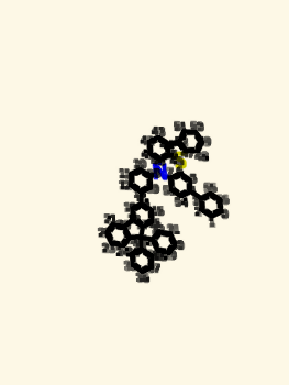 c1ccc(-c2ccc(N(c3cccc(-c4ccc5c(c4)-c4ccccc4C5(c4ccccc4)c4ccccc4)c3)c3cccc4c3sc3ccccc34)cc2)cc1